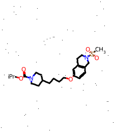 CC(C)OC(=O)N1CCC(CCCCOc2ccc3c(c2)CCN(S(C)(=O)=O)C3)CC1